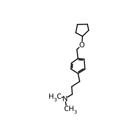 CN(C)CCCc1ccc(COC2CCCC2)cc1